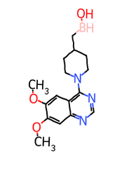 COc1cc2ncnc(N3CCC(CBO)CC3)c2cc1OC